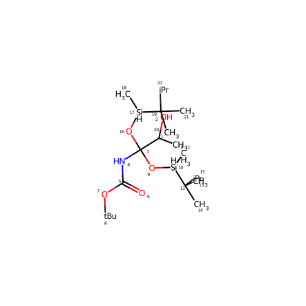 CC(O)C(NC(=O)OC(C)(C)C)(O[SiH](C)C(C)(C)C(C)C)O[SiH](C)C(C)(C)C(C)C